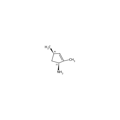 CC1=C[C@H](C)C[C@@H]1N